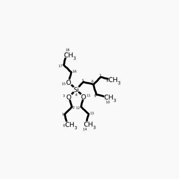 CCCO[Si](CC(CC)CC)(OCCC)OCCC